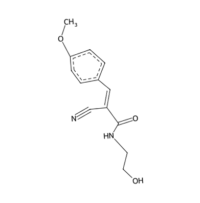 COc1ccc(/C=C(\C#N)C(=O)NCCO)cc1